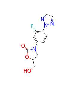 O=C1OC(CO)CN1c1ccc(-n2nccn2)c(F)c1